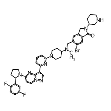 CN(Cc1cc2c(cc1Br)C(=O)N(C1CCCNC1)C2)C1CCN(c2cccc(-c3cnn4ccc(N5CCC[C@@H]5c5cc(F)ccc5F)nc34)n2)CC1